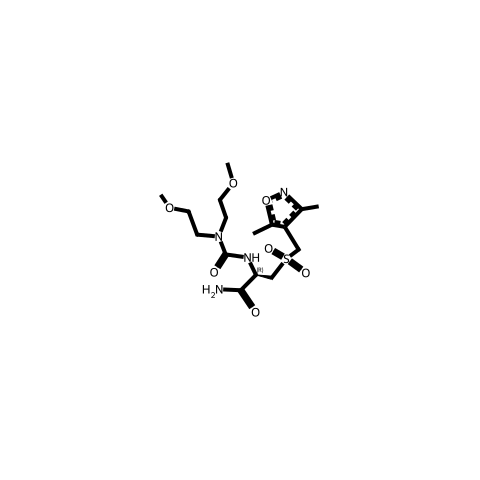 COCCN(CCOC)C(=O)N[C@@H](CS(=O)(=O)Cc1c(C)noc1C)C(N)=O